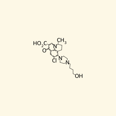 CC1CCc2c(N3CCN(CCCCO)CC3)c(Cl)cc3c(=O)c(C(=O)O)cn1c23